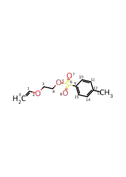 C=COCCOS(=O)(=O)c1ccc(C)cc1